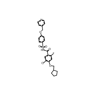 O=C(NS(=O)(=O)c1ccc(OCc2ccncc2)cc1)c1cc(Cl)c(OCC2CCCC2)cc1F